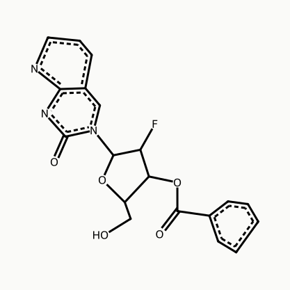 O=C(OC1C(CO)OC(n2cc3cccnc3nc2=O)C1F)c1ccccc1